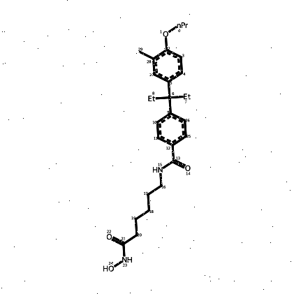 CCCOc1ccc(C(CC)(CC)c2ccc(C(=O)NCCCCCC(=O)NO)cc2)cc1C